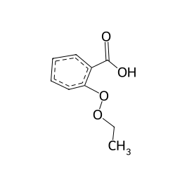 CCOOc1ccccc1C(=O)O